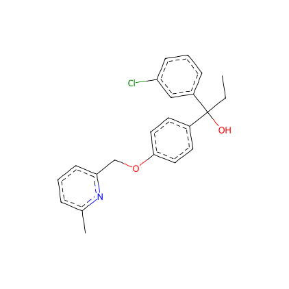 CCC(O)(c1ccc(OCc2cccc(C)n2)cc1)c1cccc(Cl)c1